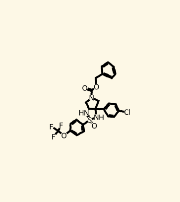 N=S(=O)(NC1(c2ccc(Cl)cc2)CCN(C(=O)OCc2ccccc2)C1)c1ccc(OC(F)(F)F)cc1